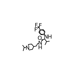 CC(C)[C@@H](Nc1ccc(C(F)(F)F)cc1)C(=O)NCCC1CCN(C(C)C)CC1